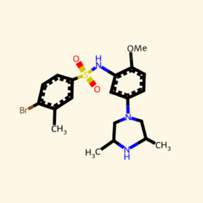 COc1ccc(N2CC(C)NC(C)C2)cc1NS(=O)(=O)c1ccc(Br)c(C)c1